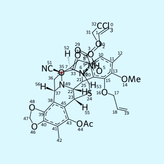 C=CCOC(=O)N1[C@@H]2Cc3cc(C)c(OC)c(OCC=C)c3[C@H]1[C@@H]1[C@@H]3SC[C@H](NC(=O)OCC(Cl)(Cl)Cl)C(=O)OC[C@@H](c4c5c(c(C)c(OC(C)=O)c43)OCO5)N1[C@H]2C#N